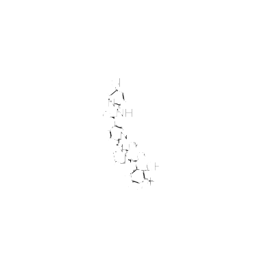 O=C(Nc1ccc(Cl)cn1)c1ccc(N2CCCN(C(=O)c3cccc(F)c3C(F)(F)F)C2=O)nc1